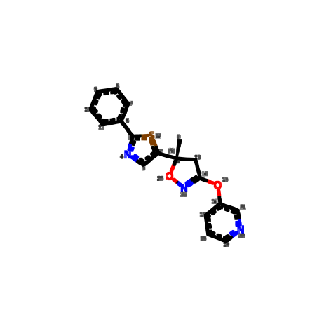 C[C@@]1(c2cnc(-c3ccccc3)s2)CC(Oc2cccnc2)=NO1